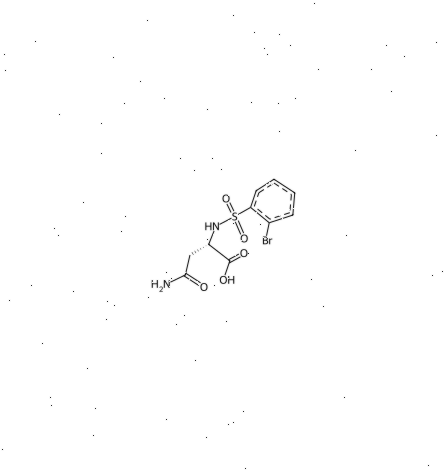 NC(=O)C[C@H](NS(=O)(=O)c1ccccc1Br)C(=O)O